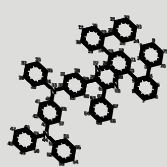 c1ccc(-c2ccccc2-c2ccc(-c3ccccc3-c3ccccc3)c3nc(-c4ccc(N(c5ccccc5)c5ccc(N(c6ccccc6)c6ccccc6)cc5)cc4)c(-c4ccccc4)nc23)cc1